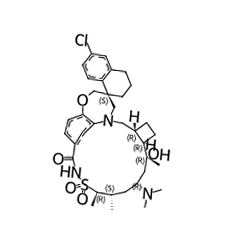 C[C@@H]1[C@@H](C)C[C@@H](N(C)C)C[C@@](C)(O)[C@@H]2CC[C@H]2CN2C[C@@]3(CCCc4cc(Cl)ccc43)COc3ccc(cc32)C(=O)NS1(=O)=O